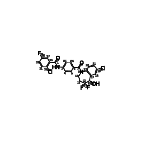 O=C(Nc1ccc(C(=O)N2CCC(F)(F)[C@H](O)c3cc(Cl)ccc32)cc1)c1cc(F)ccc1Cl